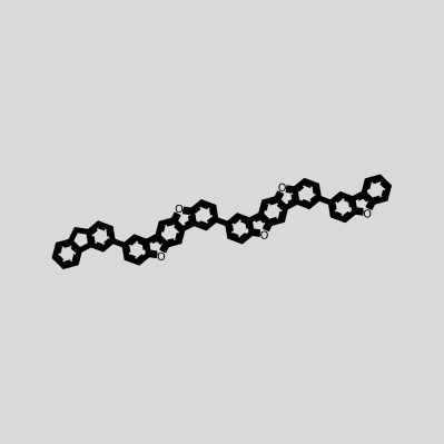 c1ccc2c(c1)Cc1ccc(-c3ccc4oc5cc6c(cc5c4c3)oc3ccc(-c4ccc5oc7cc8c(cc7c5c4)oc4ccc(-c5ccc7oc9ccccc9c7c5)cc48)cc36)cc1-2